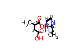 CC(CC(=O)O)C(=O)O.CCc1ncc[nH]1